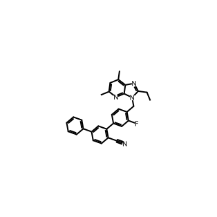 CCc1nc2c(C)cc(C)nc2n1Cc1ccc(-c2cc(-c3ccccc3)ccc2C#N)cc1F